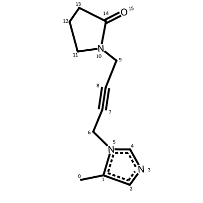 Cc1cncn1CC#CCN1CCCC1=O